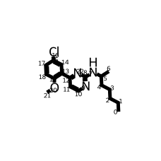 CCCCCC(C)Nc1nccc(-c2cc(Cl)ccc2OC)n1